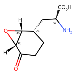 N[C@@H](C[C@@H]1CCC(=O)[C@@H]2O[C@H]12)C(=O)O